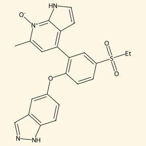 CCS(=O)(=O)c1ccc(Oc2ccc3[nH]ncc3c2)c(-c2cc(C)[n+]([O-])c3[nH]ccc23)c1